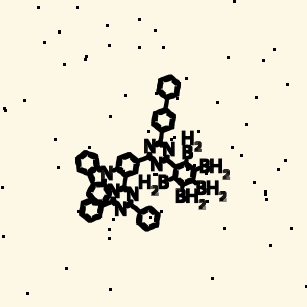 Bc1c(B)c(B)c(-c2nc(-c3ccc(-c4ccccc4)cc3)nc(-c3ccc(-n4c5ccccc5c5ccccc54)c(-c4nc(-c5ccccc5)nc(-c5ccccc5)n4)c3)n2)c(B)c1B